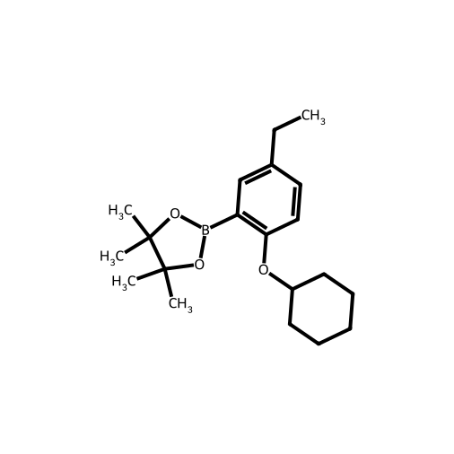 CCc1ccc(OC2CCCCC2)c(B2OC(C)(C)C(C)(C)O2)c1